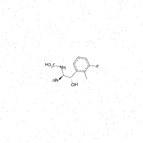 CCC[C@@H](NC(=O)O)[C@@H](O)c1cccc(F)c1C